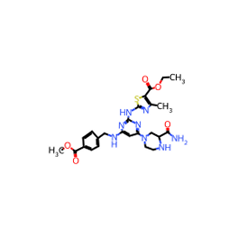 CCOC(=O)c1sc(Nc2nc(NCc3ccc(C(=O)OC)cc3)cc(N3CCNC(C(N)=O)C3)n2)nc1C